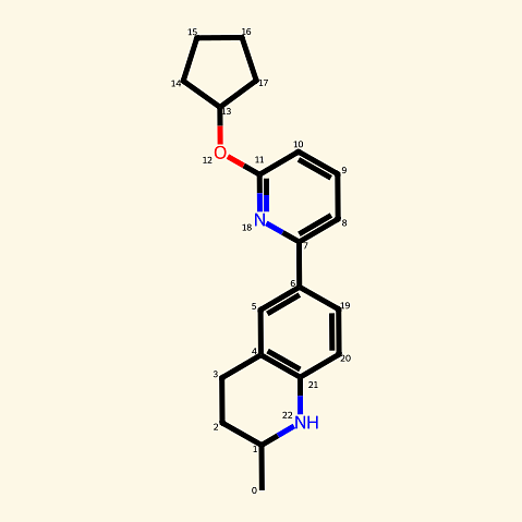 CC1CCc2cc(-c3cccc(OC4CCCC4)n3)ccc2N1